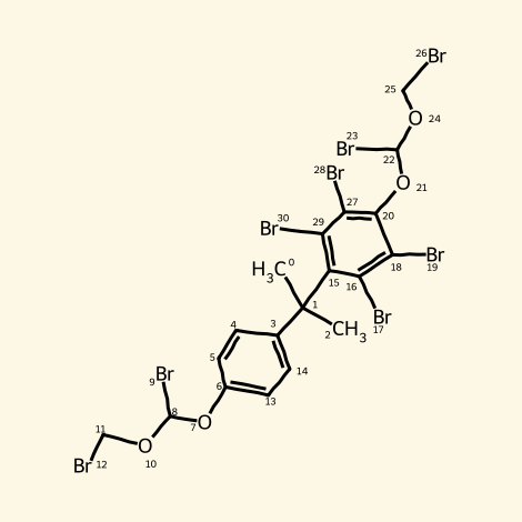 CC(C)(c1ccc(OC(Br)OCBr)cc1)c1c(Br)c(Br)c(OC(Br)OCBr)c(Br)c1Br